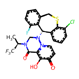 C[C@@H](N1CN([C@H]2c3cccc(Cl)c3SCc3cccc(F)c32)n2ccc(=O)c(O)c2C1=O)C(F)(F)F